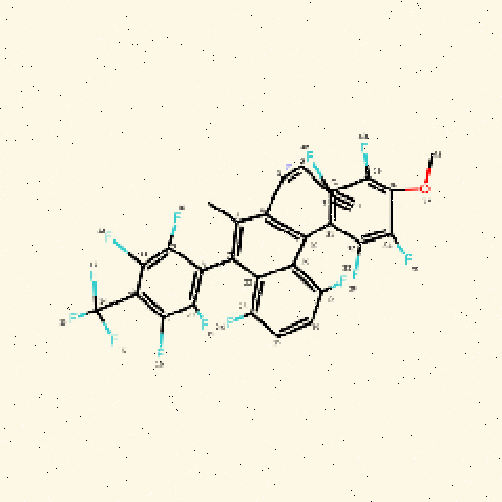 C#C/C=C\c1c(C)c(-c2c(F)c(F)c(C(F)(F)F)c(F)c2F)c2c(F)ccc(F)c2c1-c1c(F)c(F)c(OC)c(F)c1F